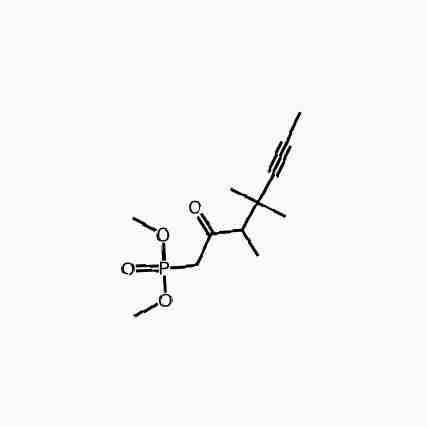 CC#CC(C)(C)C(C)C(=O)CP(=O)(OC)OC